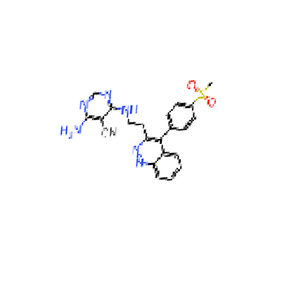 CS(=O)(=O)c1ccc(-c2c(CCNc3ncnc(N)c3C#N)nnc3ccccc23)cc1